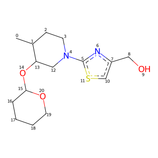 CC1CCN(c2nc(CO)cs2)CC1OC1CCCCO1